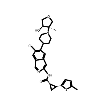 Cc1ccc([C@@H]2C[C@H]2C(=O)Nc2cc3cc(C4CCN([C@]5(C)COC[C@@H]5O)CC4)c(Cl)cc3cn2)s1